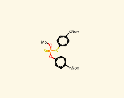 CCCCCCCCCc1ccc(OP(=S)([O][Mo])Sc2ccc(CCCCCCCCC)cc2)cc1